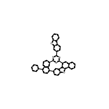 c1ccc(-c2ccc(-c3ccc4oc5c6ccccc6cc(-c6nc(-c7ccccc7)nc(-c7ccc8c(c7)oc7ccccc78)n6)c5c4c3)cc2)cc1